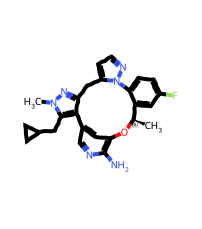 C[C@H]1Oc2cc(cnc2N)-c2c(nn(C)c2CC2CC2)Cc2ccnn2-c2ccc(F)cc21